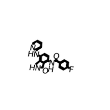 O=C(Nc1ccc(Nc2ccccn2)c2c1C(=O)NC2)c1ccc(F)cc1